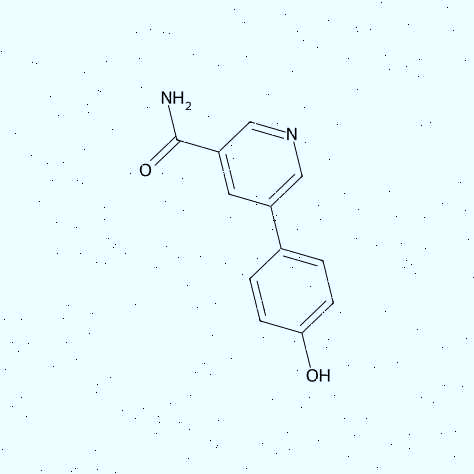 NC(=O)c1cncc(-c2ccc(O)cc2)c1